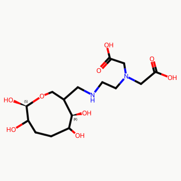 O=C(O)CN(CCNCC1CO[C@H](O)C(O)CCC(O)[C@@H]1O)CC(=O)O